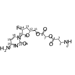 CNCCC(=O)OCC(=O)OC[C@@H]1C[C@H](F)[C@H](n2ccc(N)nc2=O)O1